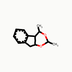 CC1OC(C)C2c3ccccc3CC2O1